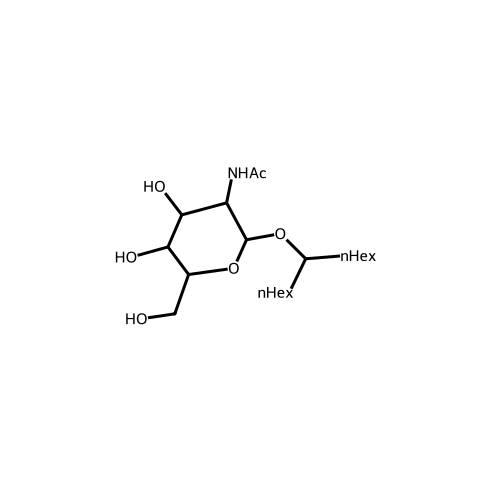 CCCCCCC(CCCCCC)OC1OC(CO)C(O)C(O)C1NC(C)=O